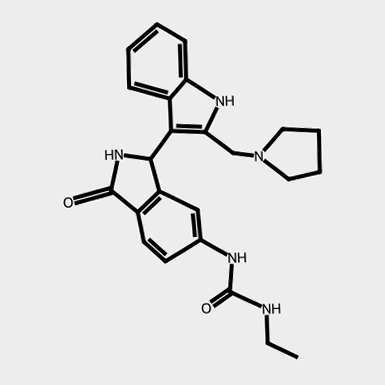 CCNC(=O)Nc1ccc2c(c1)C(c1c(CN3CCCC3)[nH]c3ccccc13)NC2=O